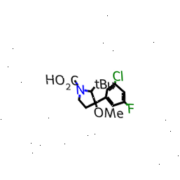 COC1(c2cc(F)cc(Cl)c2)CCN(C(=O)O)C1C(C)(C)C